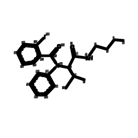 CCCCNC(=O)C(C(C)C)N(C(=O)c1ccccc1I)c1ccccc1